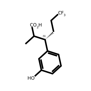 CC(C(=O)O)[C@H](CCC(F)(F)F)c1cccc(O)c1